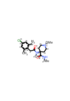 CCCCNC(=O)C1(N(C)C(=O)Cc2c(C)cc(Cl)cc2C)CCN(OC)CC1